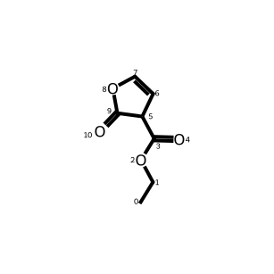 CCOC(=O)C1C=COC1=O